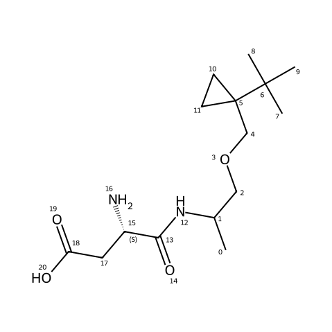 CC(COCC1(C(C)(C)C)CC1)NC(=O)[C@@H](N)CC(=O)O